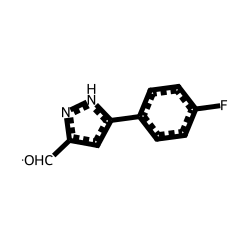 O=[C]c1cc(-c2ccc(F)cc2)[nH]n1